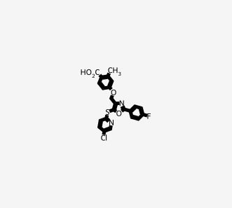 Cc1cc(OCc2nc(-c3ccc(F)cc3)oc2Sc2ccc(Cl)cn2)ccc1C(=O)O